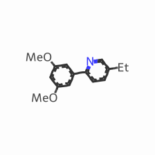 CCc1ccc(-c2cc(OC)cc(OC)c2)nc1